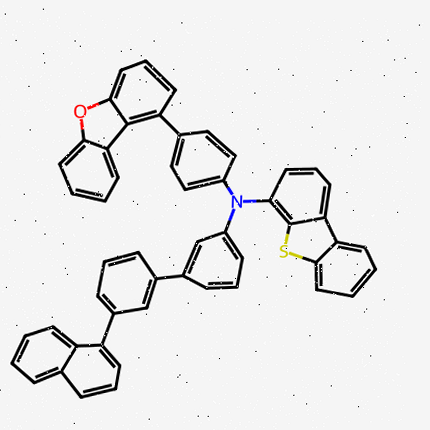 c1cc(-c2cccc(N(c3ccc(-c4cccc5oc6ccccc6c45)cc3)c3cccc4c3sc3ccccc34)c2)cc(-c2cccc3ccccc23)c1